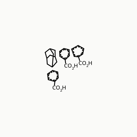 C1C2CC3CC1CC(C2)C3.O=C(O)c1ccccc1.O=C(O)c1ccccc1.O=C(O)c1ccccc1